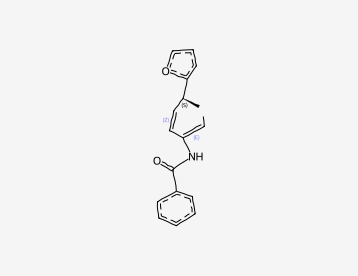 C/C=C(\C=C/[C@H](C)c1ccco1)NC(=O)c1ccccc1